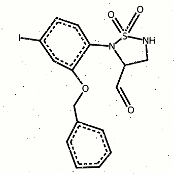 O=CC1CNS(=O)(=O)N1c1ccc(I)cc1OCc1ccccc1